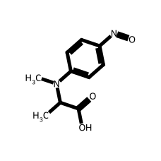 CC(C(=O)O)N(C)c1ccc(N=O)cc1